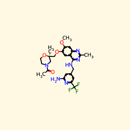 COc1cc2nc(C)nc(NCc3cc(N)nc(C(F)(F)F)c3)c2cc1OC[C@@]1(C)CN(C(C)=O)CCO1